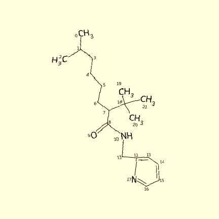 CC(C)CCCCC(C(=O)NCc1ccccn1)C(C)(C)C